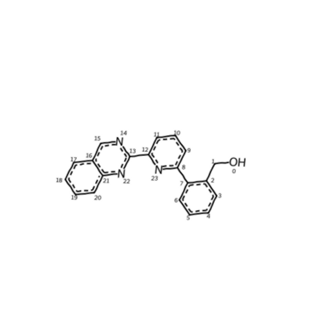 OCc1ccccc1-c1cccc(-c2ncc3ccccc3n2)n1